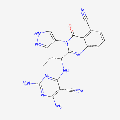 CCC(Nc1nc(N)nc(N)c1C#N)c1nc2cccc(C#N)c2c(=O)n1-c1cn[nH]c1